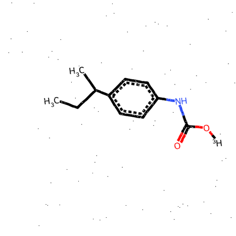 [3H]OC(=O)Nc1ccc(C(C)CC)cc1